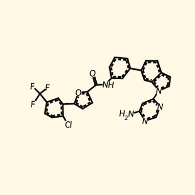 Nc1cc(-n2ccc3ccc(-c4cccc(NC(=O)c5ccc(-c6cc(C(F)(F)F)ccc6Cl)o5)c4)cc32)ncn1